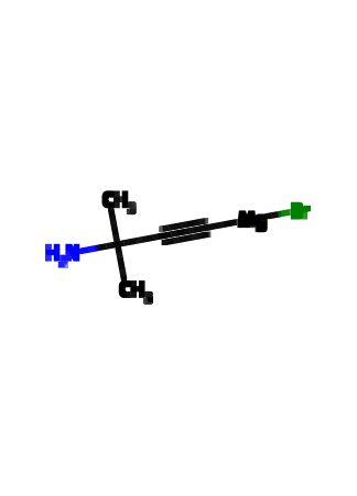 CC(C)(N)C#[C][Mg][Br]